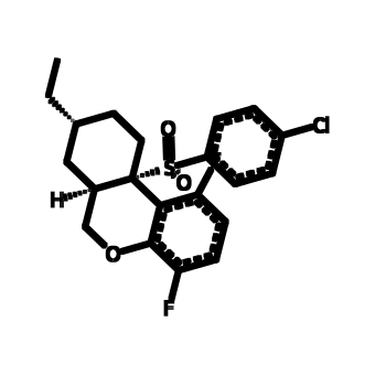 CC[C@@H]1CC[C@@]2(S(=O)(=O)c3ccc(Cl)cc3)c3c(F)ccc(F)c3OC[C@H]2C1